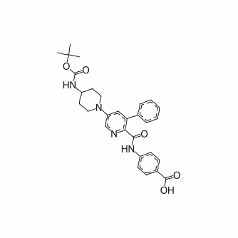 CC(C)(C)OC(=O)NC1CCN(c2cnc(C(=O)Nc3ccc(C(=O)O)cc3)c(-c3ccccc3)c2)CC1